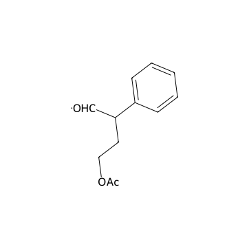 CC(=O)OCCC([C]=O)c1ccccc1